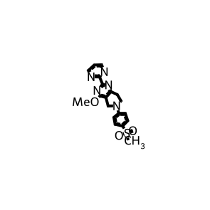 COc1nc(-c2ncccn2)nc2c1CN(c1ccc(S(C)(=O)=O)cc1)CC2